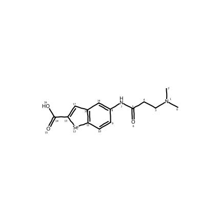 CN(C)CCC(=O)Nc1ccc2[se]c(C(=O)O)cc2c1